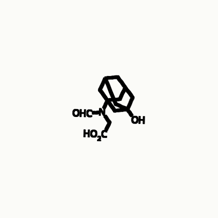 O=CN(CC(=O)O)C12CC3CC(CC(O)(C3)C1)C2